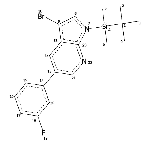 CC(C)(C)[Si](C)(C)n1cc(Br)c2cc(-c3cccc(F)c3)cnc21